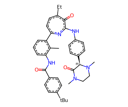 CCc1ccc(-c2cccc(NC(=O)c3ccc(C(C)(C)C)cc3)c2C)nc(Nc2ccc([C@@H]3C(=O)N(C)CCN3C)cc2)c1=O